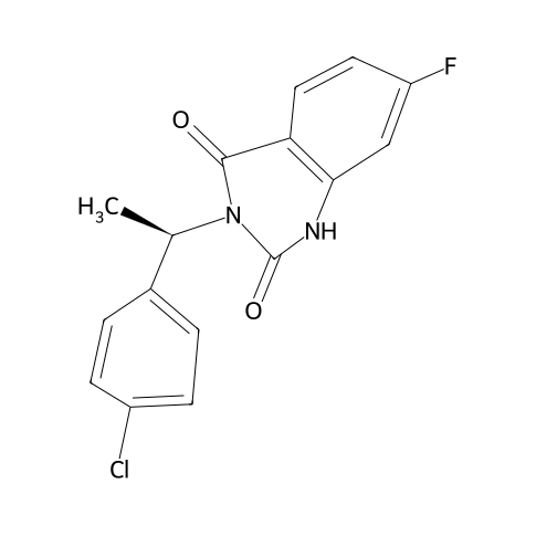 C[C@H](c1ccc(Cl)cc1)n1c(=O)[nH]c2cc(F)ccc2c1=O